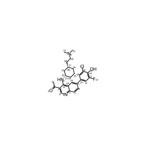 CC(=O)c1cnc2ccc(-c3cc(F)c(O)c(Cl)c3)cc2c1N[C@H]1CCC[C@H](CCN(C)C)C1